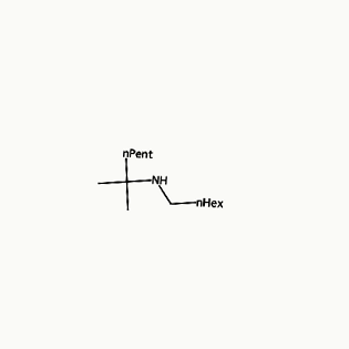 CCCCCCCNC(C)(C)CCCCC